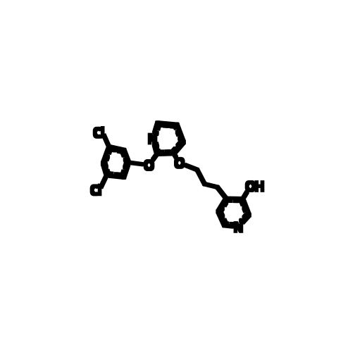 Oc1cnccc1CCCOc1cccnc1Oc1cc(Cl)cc(Cl)c1